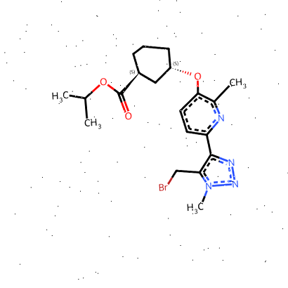 Cc1nc(-c2nnn(C)c2CBr)ccc1O[C@H]1CCC[C@H](C(=O)OC(C)C)C1